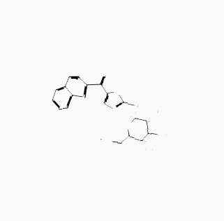 CC(=O)OCC1O[C@H](Nc2ncc(C(=O)c3ccc4ccccc4c3)s2)[C@H](OC(C)=O)C(OC(C)=O)[C@@H]1OC(C)=O